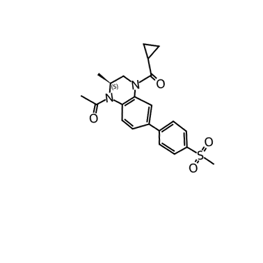 CC(=O)N1c2ccc(-c3ccc(S(C)(=O)=O)cc3)cc2N(C(=O)C2CC2)C[C@@H]1C